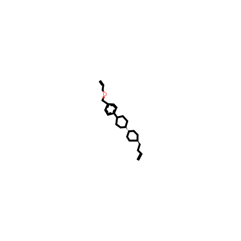 C=CCC[C@H]1CC[C@H](C2CCC(c3ccc(COCC=C)cc3)CC2)CC1